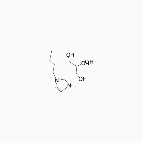 CCCCN1C=CN(C)C1.Cl.OCC(O)CO